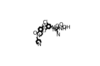 N#CC(=NNc1cc(Cl)c(Oc2ccc3c(c2)CCN(Cc2ccncc2)C3=O)c(Cl)c1)C(=O)NC(=O)O